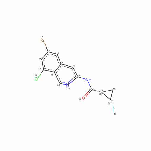 O=C(Nc1cc2cc(Br)cc(Cl)c2cn1)[C@@H]1C[C@@H]1F